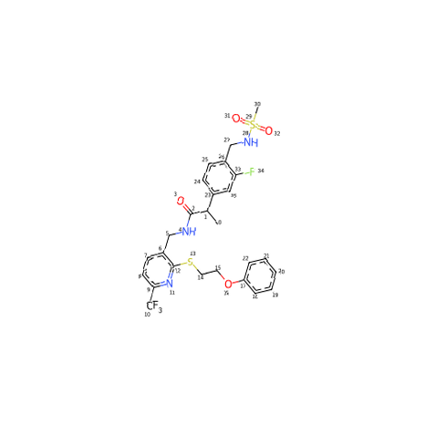 CC(C(=O)NCc1ccc(C(F)(F)F)nc1SCCOc1ccccc1)c1ccc(CNS(C)(=O)=O)c(F)c1